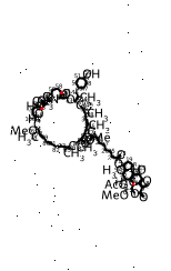 COC[C@H]1OC(=O)c2coc3c2[C@@]1(C)C1=C(C3=O)[C@@H]2CC[C@H](OC(=O)CCCCCCC(=O)O[C@@H]3/C(C)=C/[C@@H](C)C(=O)C[C@@H]([C@H](C)C[C@H]4CC[C@H](O)CC4)OC(=O)[C@@H]4CCCCN4C(=O)C(=O)[C@]4(O)O[C@@H](CC[C@H]4C)C[C@H](OC)/C(C)=C/C=C/C=C/[C@@H](C)C[C@@H](C)C(=O)[C@@H]3OC)[C@@]2(C)C[C@H]1OC(C)=O